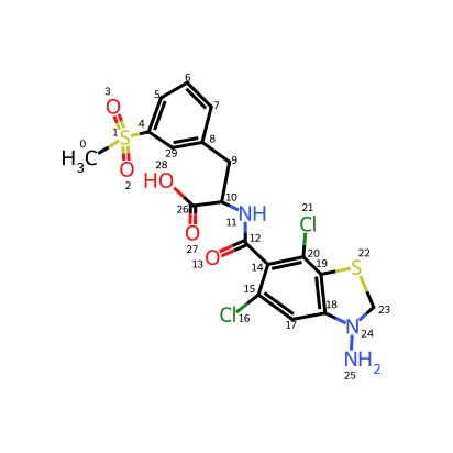 CS(=O)(=O)c1cccc(CC(NC(=O)c2c(Cl)cc3c(c2Cl)SCN3N)C(=O)O)c1